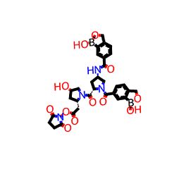 O=C(C[C@@H]1CC(O)CN1C(=O)[C@@H]1C[C@@H](NC(=O)c2ccc3c(c2)B(O)OC3)CN1C(=O)c1ccc2c(c1)B(O)OC2)ON1C(=O)CCC1=O